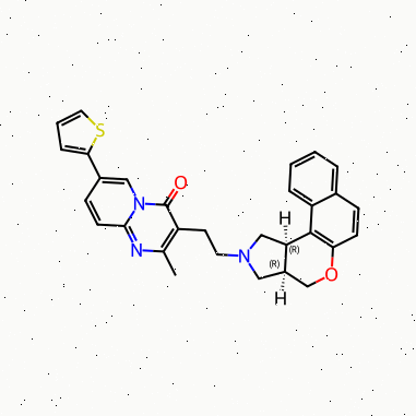 Cc1nc2ccc(-c3cccs3)cn2c(=O)c1CCN1C[C@@H]2COc3ccc4ccccc4c3[C@@H]2C1